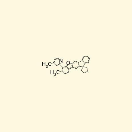 Cc1ccnc(-c2c(C)ccc3c2oc2cc4c(cc23)C2(CCCC2)c2ccccc2-4)c1